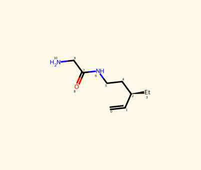 C=C[C@H](CC)CCNC(=O)CN